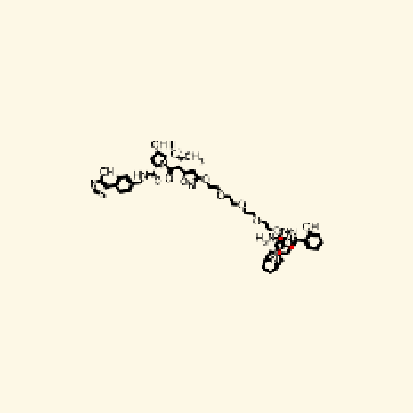 Cc1ncsc1-c1ccc(CNC(=O)[C@@H]2C[C@@H](O)CN2C(=O)[C@@H](c2cc(OCCOCCOCCOCCOc3cc(N4C5CCC4CN(c4cc(-c6ccccc6O)nnc4N)C5)ccn3)no2)C(C)C)cc1